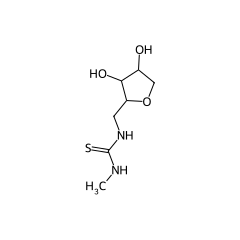 CNC(=S)NCC1OCC(O)C1O